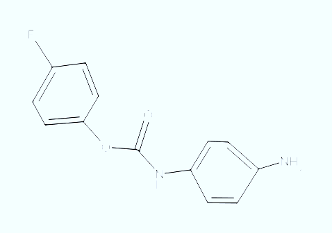 Nc1ccc(NC(=O)Oc2ccc(F)cc2)cc1